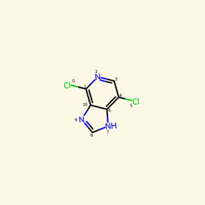 Clc1ncc(Cl)c2[nH]cnc12